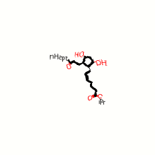 CCCCCCCC(=O)/C=C/[C@@H]1[C@@H](C/C=C\CCCC(=O)OC(C)C)[C@@H](O)C[C@H]1O